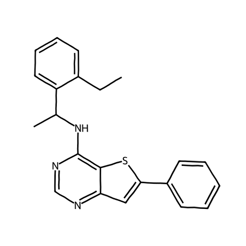 CCc1ccccc1C(C)Nc1ncnc2cc(-c3ccccc3)sc12